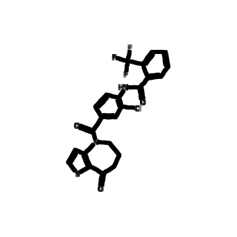 O=C(Nc1ccc(C(=O)N2CCCC(=O)c3sccc32)cc1Cl)c1ccccc1C(F)(F)F